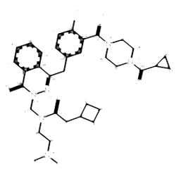 C=C(CC1CCC1)N(CCN(C)C)CN1N=C(Cc2ccc(F)c(C(=O)N3CCN(C(=O)C4CC4)CC3)c2)c2ccccc2C1=C